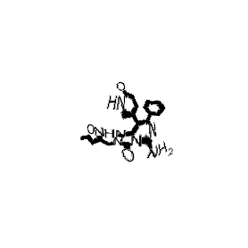 Cc1cc(Cn2[nH]c3c(-c4ccc(=O)[nH]c4)c(-c4ccccc4)nc(N)[n+]3c2=O)no1